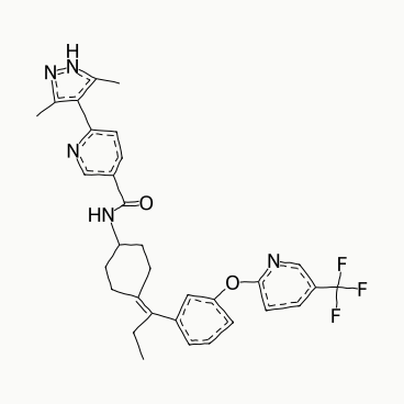 CCC(=C1CCC(NC(=O)c2ccc(-c3c(C)n[nH]c3C)nc2)CC1)c1cccc(Oc2ccc(C(F)(F)F)cn2)c1